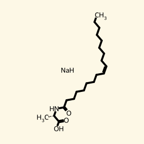 CCCCCCCC/C=C\CCCCCCCC(=O)N[C@@H](C)C(=O)O.[NaH]